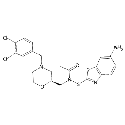 CC(=O)N(C[C@@H]1CN(Cc2ccc(Cl)c(Cl)c2)CCO1)Sc1nc2ccc(N)cc2s1